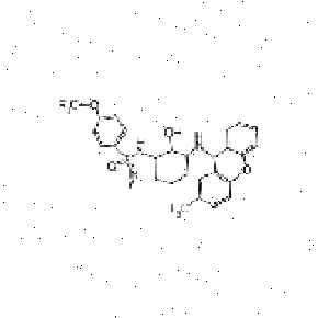 CN=S(=O)(NC1CCCC(NC2c3ccccc3Oc3ccc(C(F)(F)F)cc32)C1O)c1ccc(OC(F)(F)F)cc1